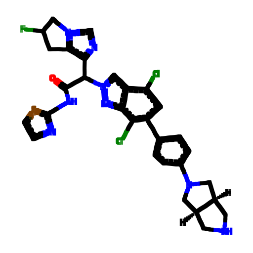 O=C(Nc1nccs1)C(c1ncn2c1CC(F)C2)n1cc2c(Cl)cc(-c3ccc(N4C[C@H]5CNC[C@H]5C4)cc3)c(Cl)c2n1